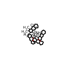 Cc1c(C)c(C)c2c(C)c3ccccc3cc2c1[Si]1(c2cccc3cc4ccccc4cc23)O[SiH2]O[Si](c2cccc3cc4ccccc4cc23)(c2cccc3cc4ccccc4cc23)O1